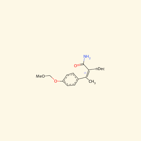 CCCCCCCCCC/C(C(N)=O)=C(\C)c1ccc(OCOC)cc1